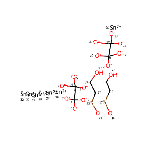 [O-]C([O-])([O-])C([O-])([O-])[O-].[O-]C([O-])([O-])C([O-])([O-])[O-].[O-]SCCO.[O-]SCCO.[Sn+2].[Sn+2].[Sn+2].[Sn+2].[Sn+2].[Sn+2].[Sn+2]